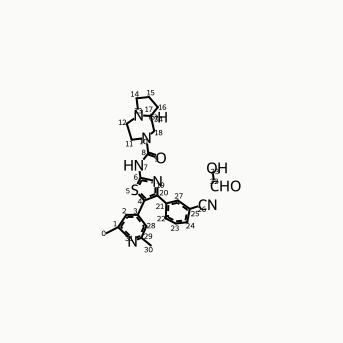 Cc1cc(-c2sc(NC(=O)N3CCN4CCC[C@H]4C3)nc2-c2cccc(C#N)c2)cc(C)n1.O=CO